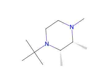 C[C@@H]1[C@H](C)N(C(C)(C)C)CCN1C